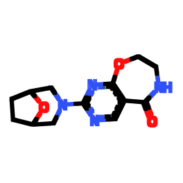 O=C1NCCOc2nc(N3CC4CCC(C3)O4)ncc21